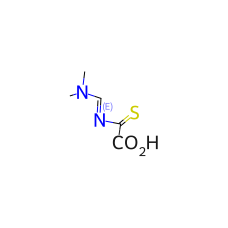 CN(C)/C=N/C(=S)C(=O)O